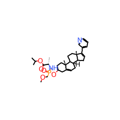 COCP(=O)(N[C@@H](C)C(=O)OC(C)C)O[C@H]1CC[C@@]2(C)C(=CC[C@@H]3C2CC[C@]2(C)C(c4cccnc4)=CCC32)C1